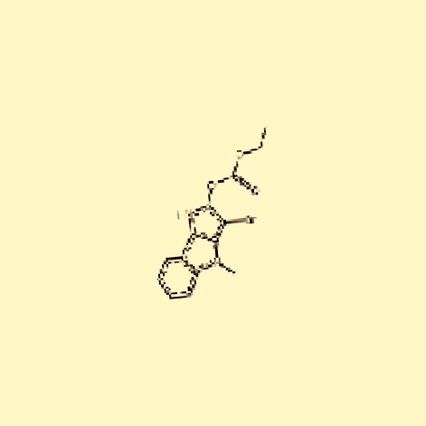 CCOC(=O)Oc1[nH]c2c3ccccc3n(C)c2c1Br